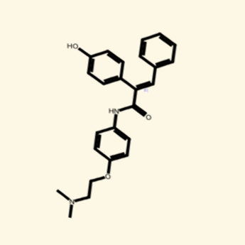 CN(C)CCOc1ccc(NC(=O)/C(=C/c2ccccc2)c2ccc(O)cc2)cc1